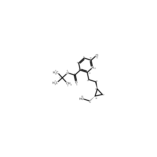 CC(C)(C)OC(=O)c1ccc(Cl)nc1CC[C@H]1C[C@@H]1CO